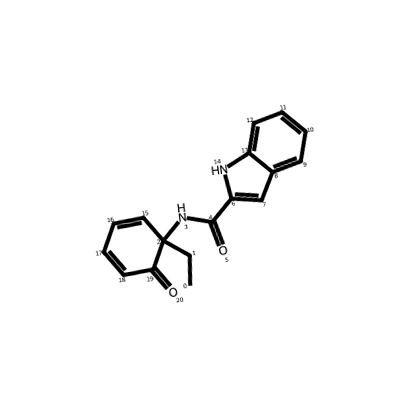 CCC1(NC(=O)c2cc3ccccc3[nH]2)C=C[C]=CC1=O